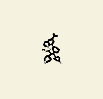 CCOC(=O)C(c1ccncc1)C(c1ccc(Cl)cc1)c1cccc(-c2cc(C(C)C)cc3cccnc23)c1